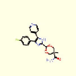 CC1(C(N)=O)COC(c2nc(-c3ccc(F)cc3)c(-c3ccncc3)[nH]2)OC1